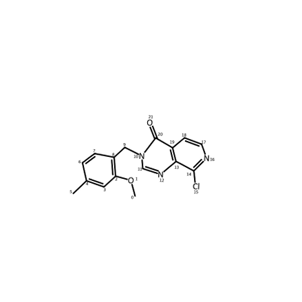 COc1cc(C)ccc1Cn1cnc2c(Cl)nccc2c1=O